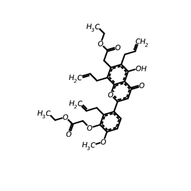 C=CCc1c(-c2cc(=O)c3c(O)c(CC=C)c(CC(=O)OCC)c(CC=C)c3o2)ccc(OC)c1OCC(=O)OCC